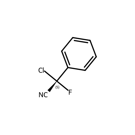 N#C[C@@](F)(Cl)c1ccccc1